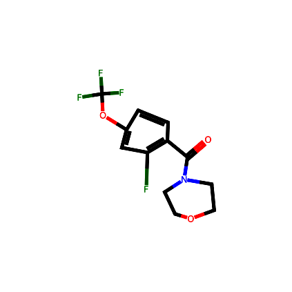 O=C(c1ccc(OC(F)(F)F)cc1F)N1CCOCC1